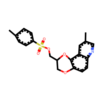 Cc1ccc(S(=O)(=O)OCC2COc3ccc4ncc(C)cc4c3O2)cc1